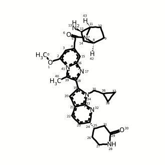 COc1cc(C(=O)N2[C@H]3CC[C@@H]2[C@H](N)C3)cc2nc(-c3cc4ccc([C@H]5CCNC(=O)C5)nc4n3CC3CC3)c(C)n12